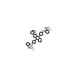 O=[N+]([O-])c1ccccc1Oc1ccc(-c2c3ccccc3c(-c3ccc(Oc4ccccc4[N+](=O)[O-])cc3)c3ccccc23)cc1.c1cc2cc(c1)OC2